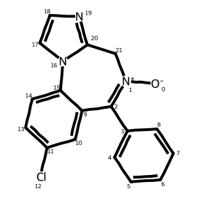 [O-][N+]1=C(c2ccccc2)c2cc(Cl)ccc2-n2ccnc2C1